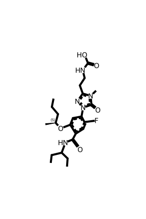 CCC[C@H](C)Oc1cc(-n2nc(CCNC(=O)O)n(C)c2=O)c(F)cc1C(=O)NC(CC)CC